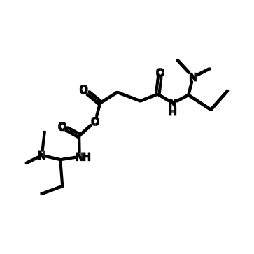 CCC(NC(=O)CCC(=O)OC(=O)NC(CC)N(C)C)N(C)C